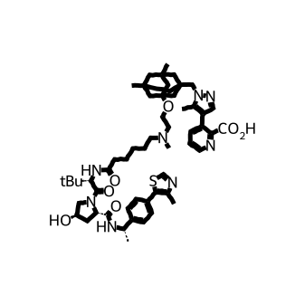 Cc1ncsc1-c1ccc([C@H](C)NC(=O)[C@@H]2C[C@@H](O)CN2C(=O)[C@@H](NC(=O)CCCCCN(C)CCOC23CC4(C)CC(C)(CC(Cn5ncc(-c6cccnc6C(=O)O)c5C)(C4)C2)C3)C(C)(C)C)cc1